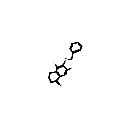 O=C1CCCc2c1cc(F)c(OCc1ccccc1)c2F